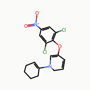 O=[N+]([O-])c1cc(Cl)c(OC2=CN(C3=CCCCC3)CC=C2)c(Cl)c1